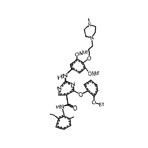 CCOc1ccccc1Oc1nc(Nc2cc(OC)c(OCCN3CCN(C)CC3)c(OC)c2)ncc1C(=O)Nc1c(C)cccc1C